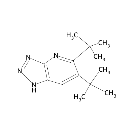 CC(C)(C)c1cc2[nH]nnc2nc1C(C)(C)C